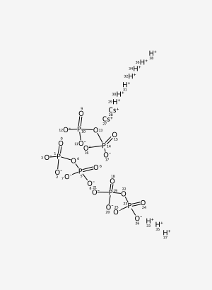 O=P([O-])([O-])OP(=O)([O-])[O-].O=P([O-])([O-])OP(=O)([O-])[O-].O=P([O-])([O-])OP(=O)([O-])[O-].[Cs+].[Cs+].[H+].[H+].[H+].[H+].[H+].[H+].[H+].[H+].[H+].[H+]